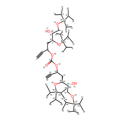 C#CC(C[C@H](O[Si](C(C)C)(C(C)C)C(C)C)[C@H](O)CO[Si](C(C)C)(C(C)C)C(C)C)OC(=O)OC(C#C)C[C@H](O[Si](C(C)C)(C(C)C)C(C)C)[C@H](O)CO[Si](C(C)C)(C(C)C)C(C)C